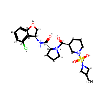 N#CC1CN(S(=O)(=O)N2CCC[C@H](C(=O)N3CCC[C@@H]3C(=O)N[C@@H]3COc4cccc(Cl)c43)C2)C1